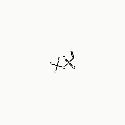 C=CS(=O)(=O)OC(F)(F)F